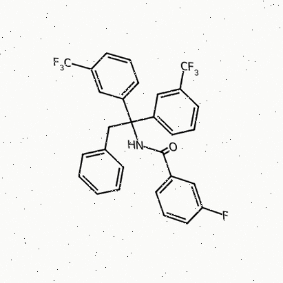 O=C(NC(Cc1ccccc1)(c1cccc(C(F)(F)F)c1)c1cccc(C(F)(F)F)c1)c1cccc(F)c1